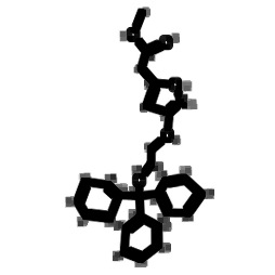 COC(=O)Cc1cc(OCCOC(c2ccccc2)(c2ccccc2)c2ccccc2)no1